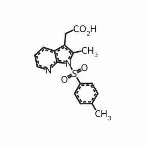 Cc1ccc(S(=O)(=O)n2c(C)c(CC(=O)O)c3cccnc32)cc1